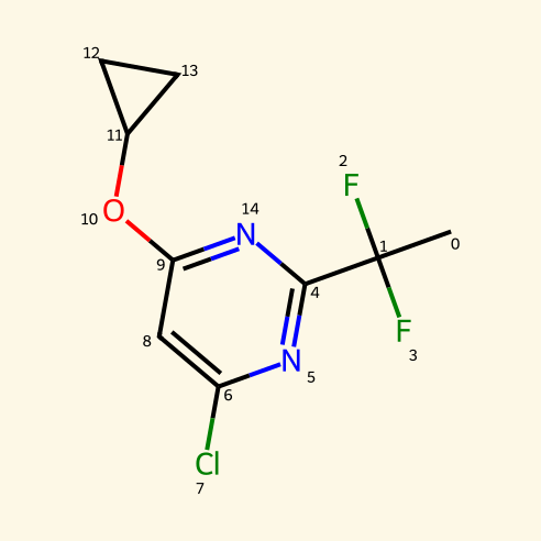 CC(F)(F)c1nc(Cl)cc(OC2CC2)n1